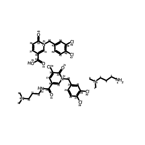 CN(C)CCCN.CN(C)CCCNC(=O)c1cc(Cl)c(=O)n(Cc2ccc(Cl)c(Cl)c2)c1.O=C(O)c1ccc(=O)n(Cc2ccc(Cl)c(Cl)c2)c1